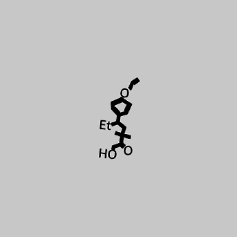 C=CCOc1ccc(C(CC)CC(C)(C)C(=O)CO)cc1